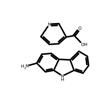 Nc1ccc2c(c1)[nH]c1ccccc12.O=C(O)c1cccnc1